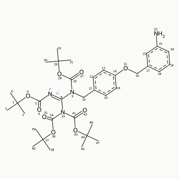 CC(C)(C)OC(=O)/N=C(/N(Cc1ccc(OCc2cccc(N)c2)cc1)C(=O)OC(C)(C)C)N(C(=O)OC(C)(C)C)C(=O)OC(C)(C)C